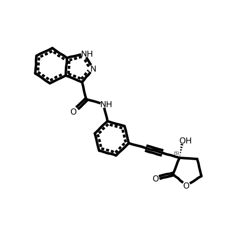 O=C(Nc1cccc(C#C[C@@]2(O)CCOC2=O)c1)c1n[nH]c2ccccc12